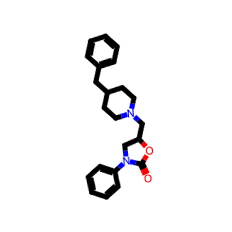 O=C1OC(CN2CCC(Cc3ccccc3)CC2)CN1c1ccccc1